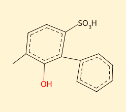 Cc1ccc(S(=O)(=O)O)c(-c2ccccc2)c1O